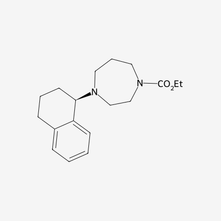 CCOC(=O)N1CCCN([C@@H]2CCCc3ccccc32)CC1